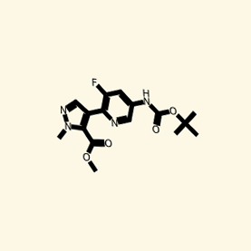 COC(=O)c1c(-c2ncc(NC(=O)OC(C)(C)C)cc2F)cnn1C